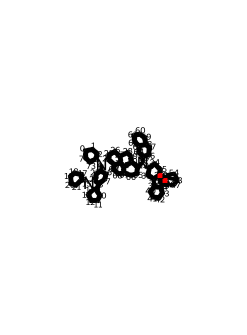 c1ccc(N(c2ccc3c4ccccc4n(-c4ccccc4)c3c2)c2ccc3ccc4c(N(c5ccc6c(c5)-c5ccccc5C65C6CC7CC(C6)CC5C7)c5ccc6ccccc6c5)ccc5ccc2c3c54)cc1